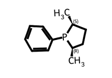 C[C@@H]1CC[C@H](C)P1c1ccccc1